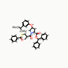 COC(OC)c1cccc(OC2C[C@@H](C(=O)OC(c3ccccc3)c3ccccc3)N(C(=O)C(C)CSC(=O)c3ccccc3)C2)c1